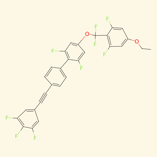 CCOc1cc(F)c(C(F)(F)Oc2cc(F)c(-c3ccc(C#Cc4cc(F)c(F)c(F)c4)cc3)c(F)c2)c(F)c1